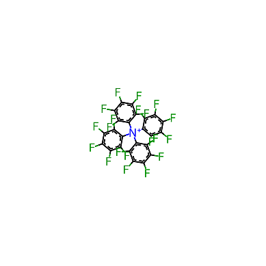 Fc1c(F)c(F)c([N+](c2c(F)c(F)c(F)c(F)c2F)(c2c(F)c(F)c(F)c(F)c2F)c2c(F)c(F)c(F)c(F)c2F)c(F)c1F